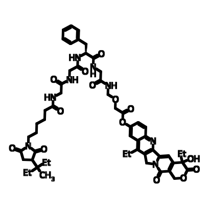 CCc1c2c(nc3ccc(OC(=O)COCNC(=O)CNC(=O)[C@H](Cc4ccccc4)NC(=O)CNC(=O)CNC(=O)CCCCCN4C(=O)CC(C(C)(CC)CC)C4=O)cc13)-c1cc3c(c(=O)n1C2)COC(=O)C3(O)CC